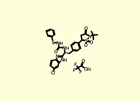 CC(C)(C)N1C(=O)CC(c2ccc(C[C@H](NC(=O)NSc3ccccc3)c3nc4ccc(Cl)cc4[nH]3)cc2)S1(=O)=O.O=C(O)C(F)(F)F